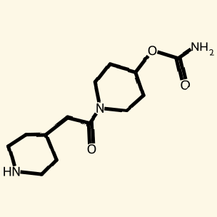 NC(=O)OC1CCN(C(=O)CC2CCNCC2)CC1